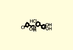 Cl.Oc1ccc(C2CCCC(NCC(O)c3cccc(Cl)c3)C2)cc1O